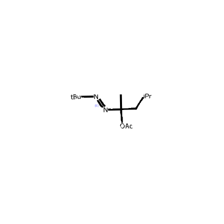 CC(=O)OC(C)(CC(C)C)/N=N/C(C)(C)C